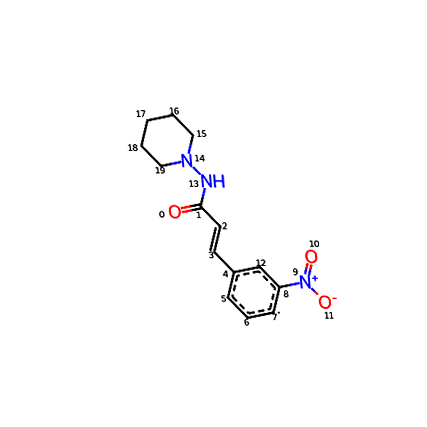 O=C(/C=C/c1cc[c]c([N+](=O)[O-])c1)NN1CCCCC1